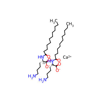 CCCCCCCCCCCC(=O)N[C@@H](CCCCN)C(=O)[O-].CCCCCCCCCCCC(=O)N[C@@H](CCCCN)C(=O)[O-].[Ca+2]